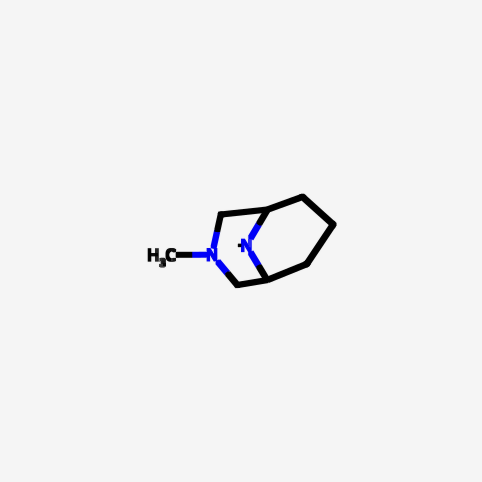 CN1CC2CCCC(C1)[N]2